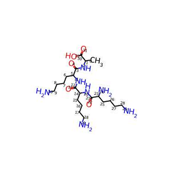 CC(NC(=O)C(CCCCN)NC(=O)C(CCCCN)NC(=O)C(N)CCCCN)C(=O)O